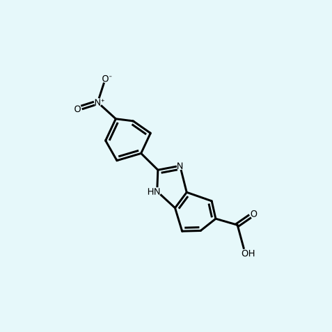 O=C(O)c1ccc2[nH]c(-c3ccc([N+](=O)[O-])cc3)nc2c1